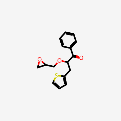 O=C(c1ccccc1)C(Cc1cccs1)OCC1CO1